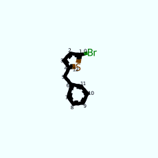 Brc1ccc(Cc2ccccc2)s1